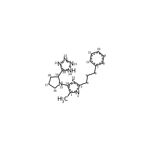 Cc1nc(CCCc2ccccc2)sc1N1CCCC1c1nnn[nH]1